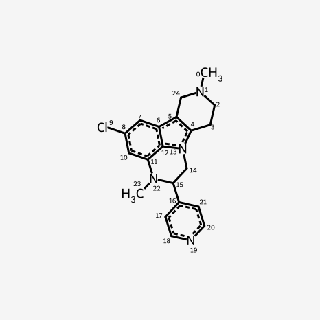 CN1CCc2c(c3cc(Cl)cc4c3n2CC(c2ccncc2)N4C)C1